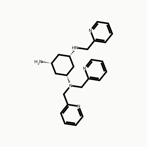 N[C@@H]1C[C@H](NCc2ccccn2)C[C@H](N(Cc2ccccn2)Cc2ccccn2)C1